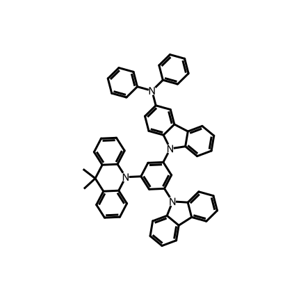 CC1(C)c2ccccc2N(c2cc(-n3c4ccccc4c4ccccc43)cc(-n3c4ccccc4c4cc(N(c5ccccc5)c5ccccc5)ccc43)c2)c2ccccc21